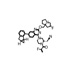 C=C(F)C(=O)N1CCN(c2nc(OCC34CCCN3C[C@H](F)C4)nc3cc(-c4cccc5c4[C@@H]4C[C@@H]4C5)ccc23)C[C@@H]1CC#N